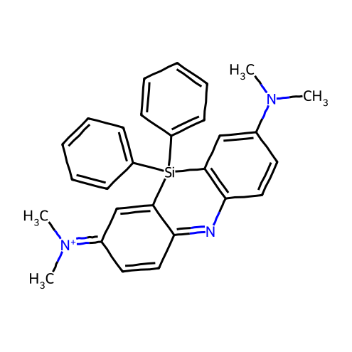 CN(C)c1ccc2c(c1)[Si](c1ccccc1)(c1ccccc1)C1=CC(=[N+](C)C)C=CC1=N2